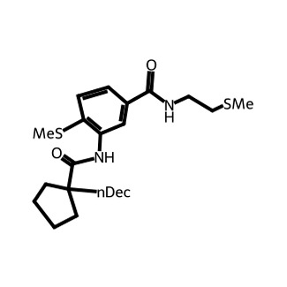 CCCCCCCCCCC1(C(=O)Nc2cc(C(=O)NCCSC)ccc2SC)CCCC1